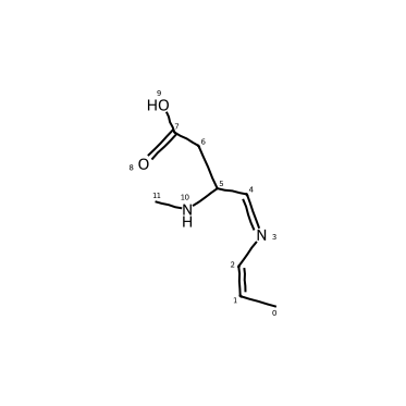 C/C=C\N=C/C(CC(=O)O)NC